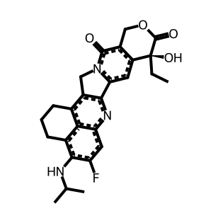 CC[C@@]1(O)C(=O)OCc2c1cc1n(c2=O)Cc2c-1nc1cc(F)c(NC(C)C)c3c1c2CCC3